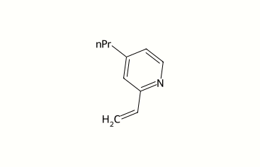 C=Cc1cc(CCC)ccn1